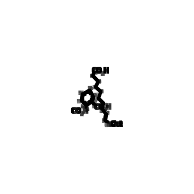 CCCCCCCCC=CCCCCCCCC(=O)O.O=C(O)c1ccccc1C(=O)O